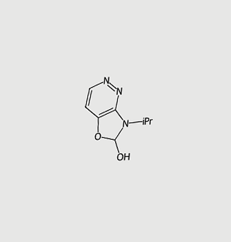 CC(C)N1c2nnccc2OC1O